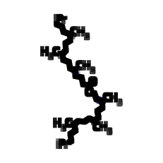 C/C(=C\CCC(=O)OC/C=C(\C)CCC[C@H](C)CCC[C@H](C)CCCC(C)C)CCC[C@H](C)CCC[C@H](C)CCCC(C)C